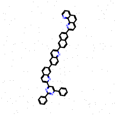 c1ccc(-c2cc(-c3ccc4ccc(-c5ccc6nc(-c7ccc8cc(-c9ccc%10ccc%11cccnc%11c%10n9)ccc8c7)ccc6c5)cc4n3)nc(-c3ccccc3)n2)cc1